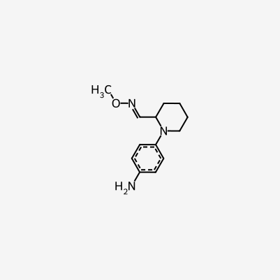 CON=CC1CCCCN1c1ccc(N)cc1